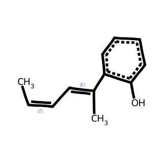 C/C=C\C=C(/C)c1ccccc1O